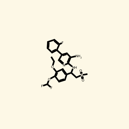 CCOc1cc(C(CS(C)(=O)=O)Nc2ncc(-c3ccccc3F)cc2N)ccc1OC(F)F